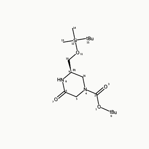 CC(C)(C)OC(=O)N1CC(=O)N[C@@H](CO[Si](C)(C)C(C)(C)C)C1